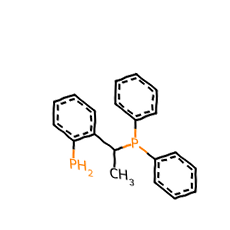 CC(c1ccccc1P)P(c1ccccc1)c1ccccc1